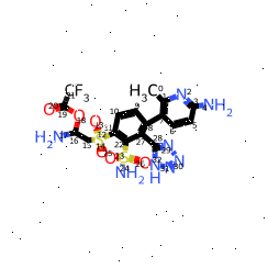 Cc1nc(N)ccc1-c1ccc(S(=O)(=O)CC(N)OC(=O)C(F)(F)F)c(S(N)(=O)=O)c1-c1nnn[nH]1